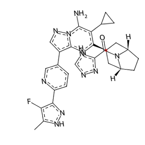 Cc1[nH]nc(-c2ccc(-c3cnn4c(N)c(C5CC5)c([C@@H]5C[C@H]6CC[C@@H](C5)N6C(=O)c5nnc[nH]5)nc34)cn2)c1F